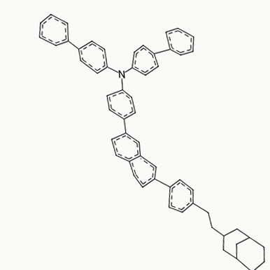 c1ccc(-c2ccc(N(c3ccc(-c4ccccc4)cc3)c3ccc(-c4ccc5ccc(-c6ccc(CCC7CC8CCCC(C8)C7)cc6)cc5c4)cc3)cc2)cc1